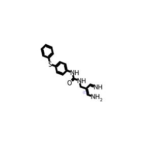 N=C/C(=C\N)CNC(=O)Nc1ccc(Sc2ccccc2)cc1